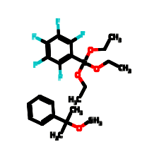 CC(C)(O[SiH3])c1ccccc1.CCO[Si](OCC)(OCC)c1c(F)c(F)c(F)c(F)c1F